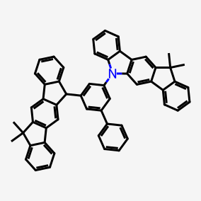 CC1(C)c2ccccc2-c2cc3c(cc21)-c1ccccc1C3c1cc(-c2ccccc2)cc(-n2c3ccccc3c3cc4c(cc32)-c2ccccc2C4(C)C)c1